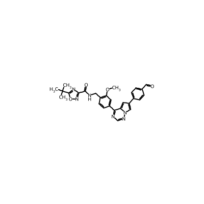 COc1cc(-c2ncnn3cc(-c4ccc(C=O)cc4)cc23)ccc1CNC(=O)c1noc(C(C)(C)C)n1